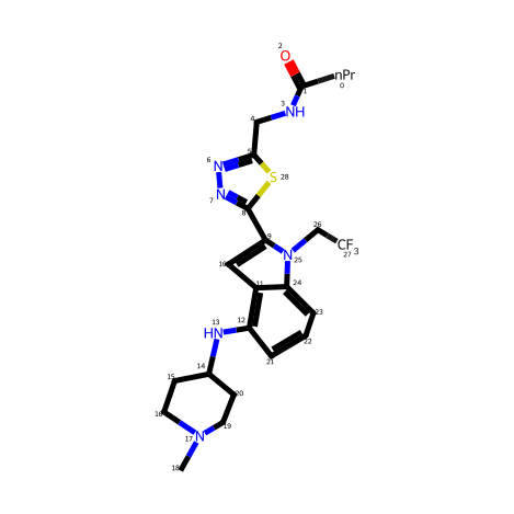 CCCC(=O)NCc1nnc(-c2cc3c(NC4CCN(C)CC4)cccc3n2CC(F)(F)F)s1